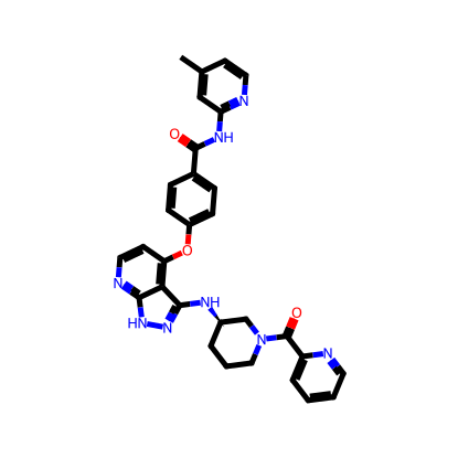 Cc1ccnc(NC(=O)c2ccc(Oc3ccnc4[nH]nc(N[C@@H]5CCCN(C(=O)c6ccccn6)C5)c34)cc2)c1